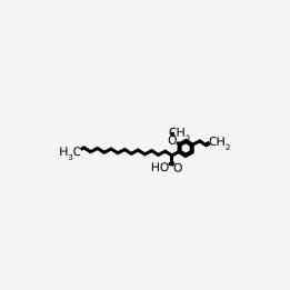 C=CCc1ccc(C(CCCCCCCCCCCCCC)C(=O)O)c(OC)c1